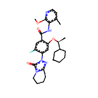 COc1nccc(C)c1NC(=O)c1cc(F)c(-n2nc3n(c2=O)CCCC3)cc1O[C@@H](C)C1CCCCC1